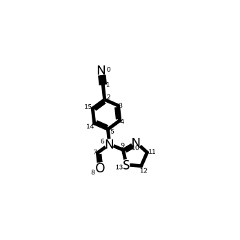 N#Cc1ccc(N(C=O)C2=NCCS2)cc1